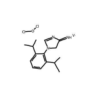 CC(C)c1cccc(C(C)C)c1N1C=NC(=N)C1.ClOCl.[V]